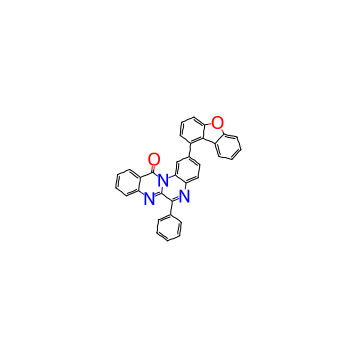 O=c1c2ccccc2nc2c(-c3ccccc3)nc3ccc(-c4cccc5oc6ccccc6c45)cc3n12